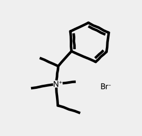 CC[N+](C)(C)C(C)c1ccccc1.[Br-]